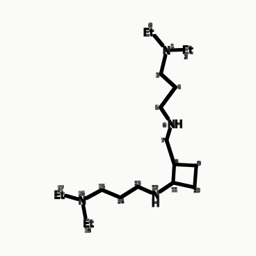 CCN(CC)CCCNCC1CCC1NCCCN(CC)CC